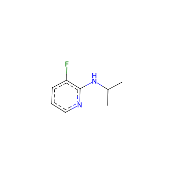 CC(C)Nc1ncccc1F